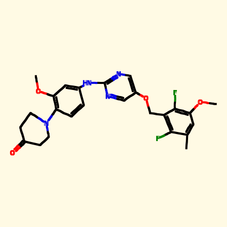 COc1cc(Nc2ncc(OCc3c(F)c(C)cc(OC)c3F)cn2)ccc1N1CCC(=O)CC1